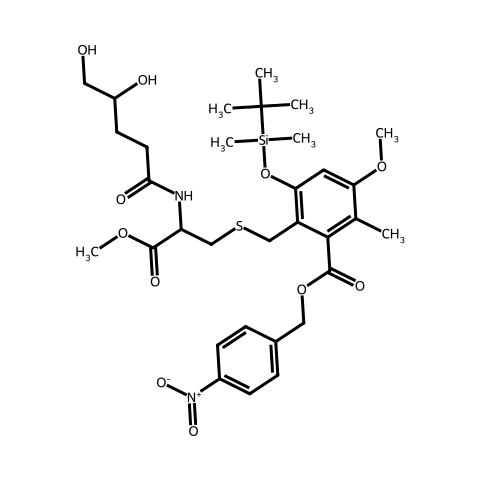 COC(=O)C(CSCc1c(O[Si](C)(C)C(C)(C)C)cc(OC)c(C)c1C(=O)OCc1ccc([N+](=O)[O-])cc1)NC(=O)CCC(O)CO